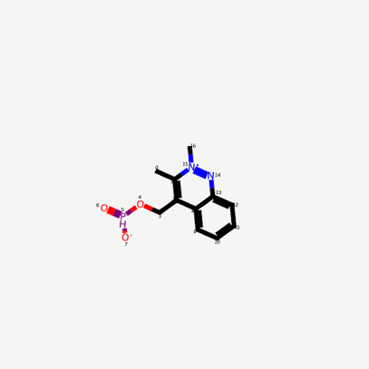 Cc1c(CO[PH](=O)[O-])c2ccccc2n[n+]1C